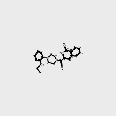 CCOc1ccccc1N1CCN(C(=O)c2cc3ccccc3c(=O)o2)CC1